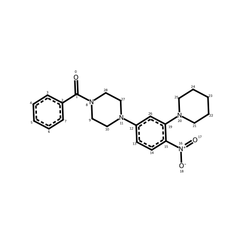 O=C(c1ccccc1)N1CCN(c2ccc([N+](=O)[O-])c(N3CCCCC3)c2)CC1